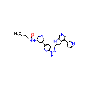 CCCCC(=O)Nc1cncc(-c2cnc3[nH]nc(-c4cc5c(-c6cccnc6)cncc5[nH]4)c3c2)c1